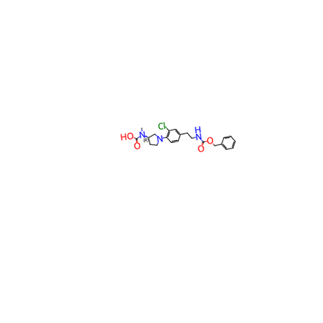 CN(C(=O)O)[C@@H]1CCN(c2ccc(CCNC(=O)OCc3ccccc3)cc2Cl)C1